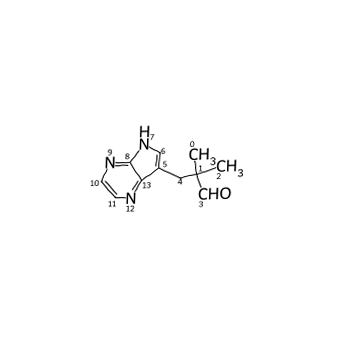 CC(C)(C=O)Cc1c[nH]c2nccnc12